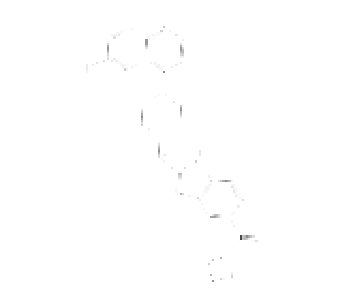 O=C(c1ccc2[nH]c([C@@H]([C@H]3CC[C@@H](c4ccnc5ccc(F)cc54)CC3)C(F)(F)F)nc2c1)N1CCC1